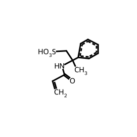 C=CC(=O)NC(C)(CS(=O)(=O)O)c1ccccc1